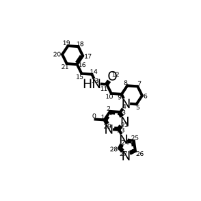 Cc1cc(N2CCCCC2CC(=O)NCCC2=CCCCC2)nc(-n2ccnc2)n1